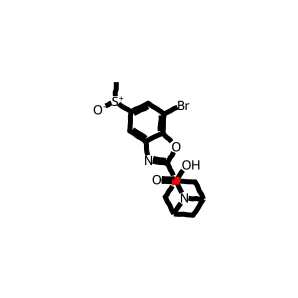 C[S+]([O-])c1cc(Br)c2oc(N3CC4CC(C3)N4C(=O)O)nc2c1